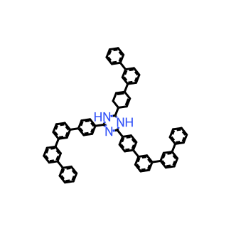 C1=CC(C2NC(c3ccc(-c4cccc(-c5cccc(-c6ccccc6)c5)c4)cc3)=NC(c3ccc(-c4cccc(-c5cccc(-c6ccccc6)c5)c4)cc3)N2)CC=C1c1cccc(-c2ccccc2)c1